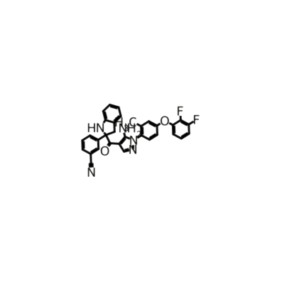 Cc1cc(Oc2cccc(F)c2F)ccc1-n1ncc(C(=O)C2(c3cccc(C#N)c3)Cc3ccccc3N2)c1N